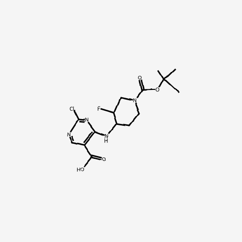 CC(C)(C)OC(=O)N1CCC(Nc2nc(Cl)ncc2C(=O)O)C(F)C1